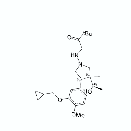 COc1ccc([C@@H]2CN(NCC(=O)C(C)(C)C)C[C@@]2(C)[C@@H](C)O)cc1OCC1CC1